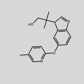 Cc1ccc(Oc2ccc3ncn(C(C)(C)CO)c3c2)nc1